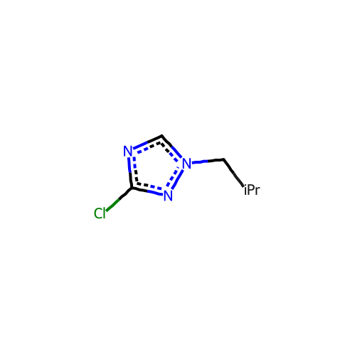 CC(C)Cn1cnc(Cl)n1